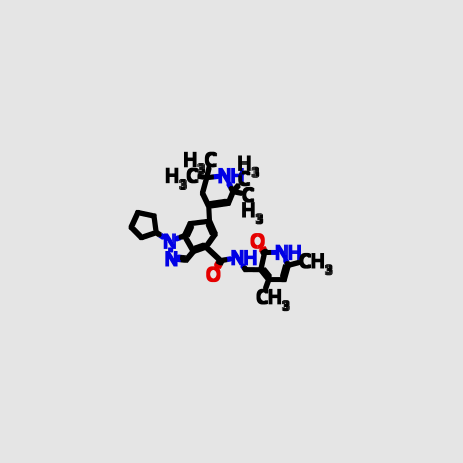 Cc1cc(C)c(CNC(=O)c2cc(C3=CC(C)(C)NC(C)(C)C3)cc3c2cnn3C2CCCC2)c(=O)[nH]1